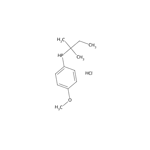 CCC(C)(C)Pc1ccc(OC)cc1.Cl